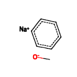 C[O-].[Na+].c1ccccc1